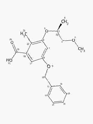 COC[C@H](C)Oc1cc(OCc2ccccc2)cc(C(=O)O)c1C